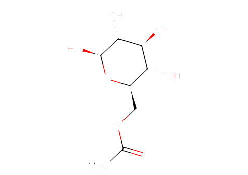 COC(=O)OC[C@H]1O[C@@H](O)[C@H](O)[C@@H](O)[C@@H]1O